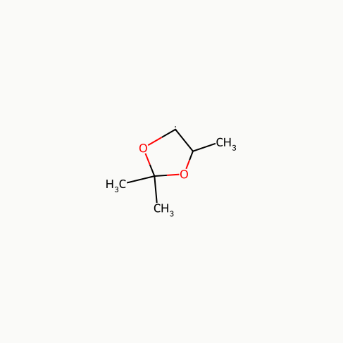 CC1[CH]OC(C)(C)O1